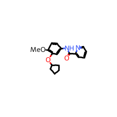 COc1ccc(NC(=O)c2ccccn2)cc1OC1CCCC1